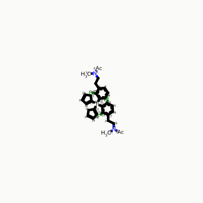 CC(=O)N(C)CCc1ccc(F)[c]([Ti]([C]2=CC=CC2)([C]2=CC=CC2)[c]2c(F)ccc(CCN(C)C(C)=O)c2F)c1F